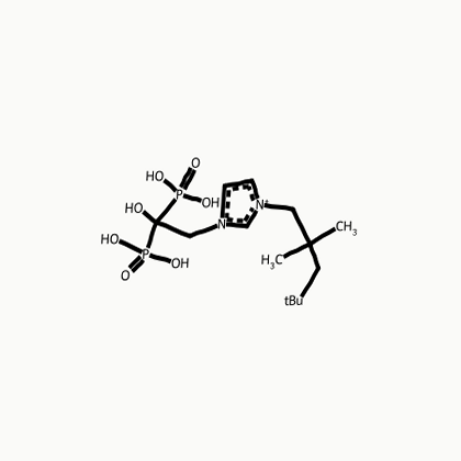 CC(C)(C)CC(C)(C)C[n+]1ccn(CC(O)(P(=O)(O)O)P(=O)(O)O)c1